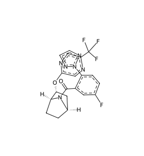 O=C(c1cc(F)ccc1-n1nccn1)N1[C@@H]2CC[C@H]1[C@H](Oc1cnc(C(F)(F)F)cn1)C2